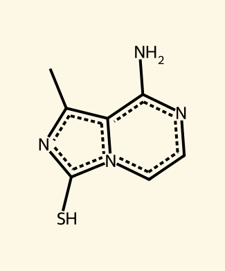 Cc1nc(S)n2ccnc(N)c12